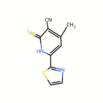 Cc1cc(-c2nccs2)[nH]c(=S)c1C#N